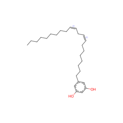 CCCCCCCCC/C=C\C/C=C\CCCCCCCc1cc(O)cc(O)c1